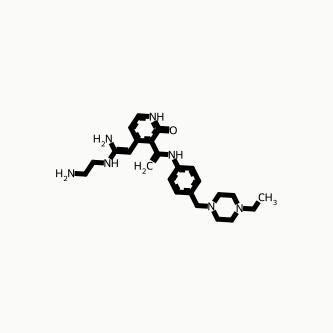 C=C(Nc1ccc(CN2CCN(CC)CC2)cc1)c1c(/C=C(\N)NCCN)cc[nH]c1=O